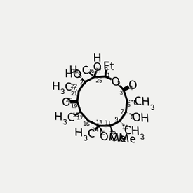 CCC1OC(=O)[C@H](C)[C@H](O)[C@H](C)[C@@H](OC)[C@@](C)(OC)C[C@@H](C)C(=O)[C@H](C)[C@@H](O)[C@]1(C)O